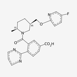 C[C@H]1CC[C@@H](COc2ccc(F)cn2)CN1C(=O)c1cc(C(=O)O)ccc1-c1ncccn1